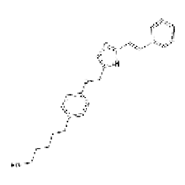 OCCCCCc1ccc(OCc2coc(C=Cc3ccccc3)n2)cc1